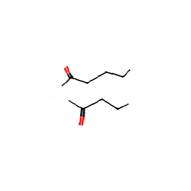 O=C(O)CCC(=O)C(=O)O.O=C(O)CCCC(=O)C(=O)O